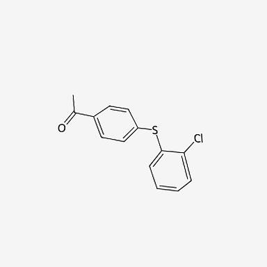 CC(=O)c1ccc(Sc2ccccc2Cl)cc1